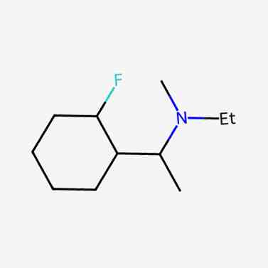 CCN(C)C(C)C1CCCCC1F